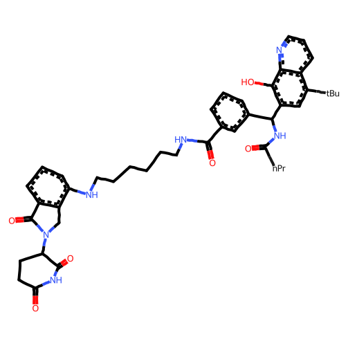 CCCC(=O)NC(c1cccc(C(=O)NCCCCCCNc2cccc3c2CN(C2CCC(=O)NC2=O)C3=O)c1)c1cc(C(C)(C)C)c2cccnc2c1O